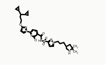 CC1(C)CC(CCCn2ccc(S(=O)(=O)NC(=O)c3ccc(-n4ccc(OCCC(C5CC5)C5CC5)n4)nc3Cl)n2)CN1